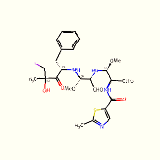 CO[C@H](NC(C=O)[C@@H](N[C@@H](Cc1ccccc1)C(=O)[C@](C)(O)CI)OC)C(C=O)NC(=O)c1cnc(C)s1